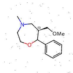 COC[C@@H]1CN(C)CCOC1c1ccccc1